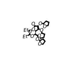 CCOC(CC)OC(COC1CCCO1)[C@H]1OC(=O)C(OC2CCCO2)=C1OC1CCCO1